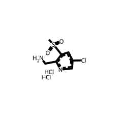 CS(=O)(=O)c1cc(Cl)cnc1CN.Cl.Cl